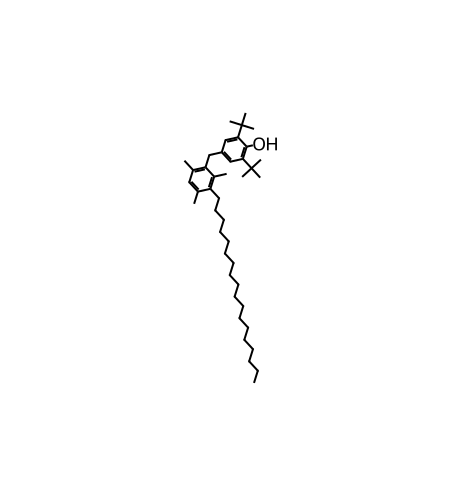 CCCCCCCCCCCCCCCCCCc1c(C)cc(C)c(Cc2cc(C(C)(C)C)c(O)c(C(C)(C)C)c2)c1C